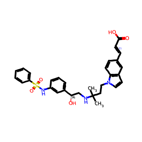 CC(C)(CCn1ccc2cc(/C=C/C(=O)O)ccc21)NC[C@H](O)c1cccc(NS(=O)(=O)c2ccccc2)c1